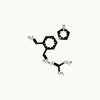 C=C(C)C(=O)O.C=Cc1ccccc1C=C.c1c[nH]cn1